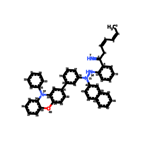 C/C=C\C=C/CC(=N)c1ccccc1NN(c1cccc(-c2ccc3c(c2)N(c2ccccc2)c2ccccc2O3)c1)c1ccc2ccccc2c1